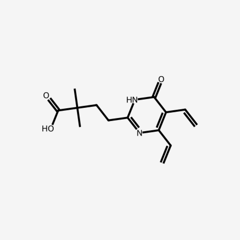 C=Cc1nc(CCC(C)(C)C(=O)O)[nH]c(=O)c1C=C